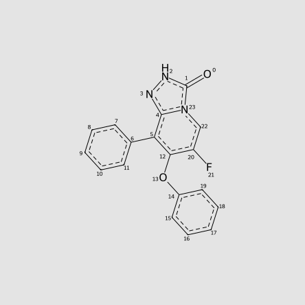 O=c1[nH]nc2c(-c3ccccc3)c(Oc3ccccc3)c(F)cn12